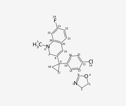 C1=NCCO1.CN1CC(C2(c3ccc(Cl)cc3)CC2)=Cc2ccc(F)cc21